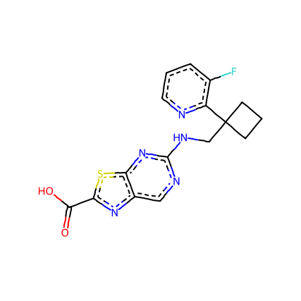 O=C(O)c1nc2cnc(NCC3(c4ncccc4F)CCC3)nc2s1